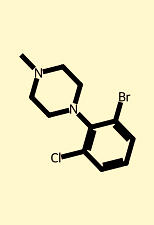 CN1CCN(c2c(Cl)cccc2Br)CC1